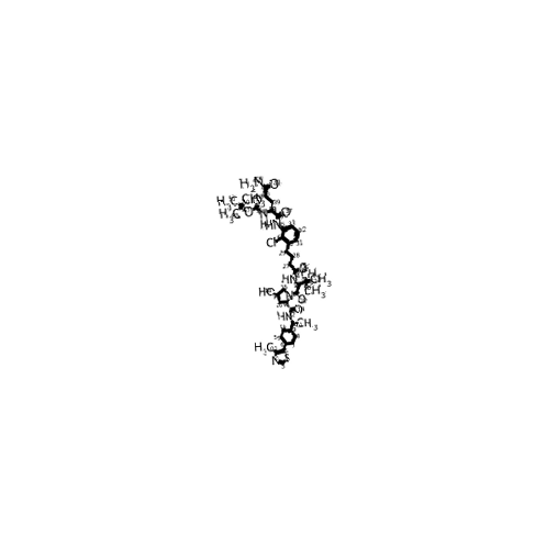 Cc1ncsc1-c1ccc([C@H](C)NC(=O)[C@@H]2C[C@@H](O)CN2C(=O)[C@@H](NC(=O)CCCc2cccc(NC(=O)[C@H](CCC(N)=O)NC(=O)OC(C)(C)C)c2Cl)C(C)(C)C)cc1